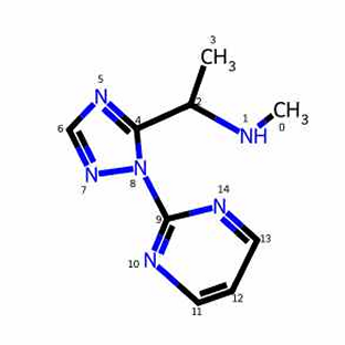 CNC(C)c1ncnn1-c1ncccn1